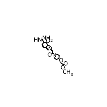 CCOC(=O)COC1CCN(C(=O)CN2C=C3C=CC(C(=N)N)C(=O)C3C2)CC1